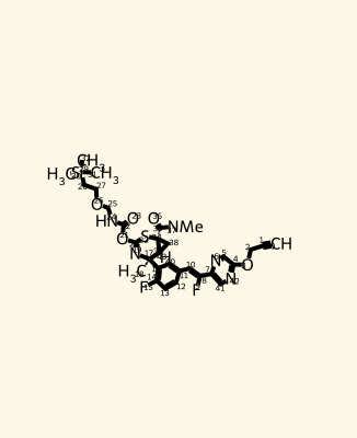 C#CCOc1cnc(/C(F)=C/c2ccc(F)c([C@@]3(C)N=C(OC(=O)NCOCC[Si](C)(C)C)S[C@@]4(C(=O)NC)C[C@H]43)c2)cn1